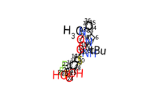 CN(C(=O)[C@@H]1CCCN1C(=O)C(NC(=O)c1cc2cc(C(F)(F)P(=O)(O)O)ccc2s1)C(C)(C)C)c1ccccc1